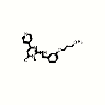 CC(=O)OCCCOc1cccc(CNc2nc(-c3ccncc3)cc(=O)n2C)c1